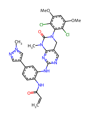 C=CC(=O)Nc1ccc(-c2cnn(C)c2)cc1Nc1ncc2c(n1)N(C)C(=O)N(c1c(Cl)c(OC)cc(OC)c1Cl)C2